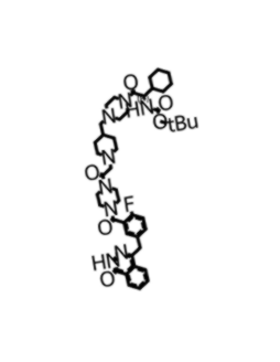 CC(C)(C)OC(=O)N[C@@H](C(=O)N1CCN(CC2CCN(CC(=O)N3CCN(C(=O)c4cc(Cc5n[nH]c(=O)c6ccccc56)ccc4F)CC3)CC2)CC1)C1CCCCC1